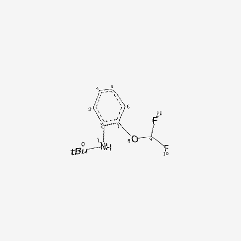 CC(C)(C)Nc1ccccc1OC(F)F